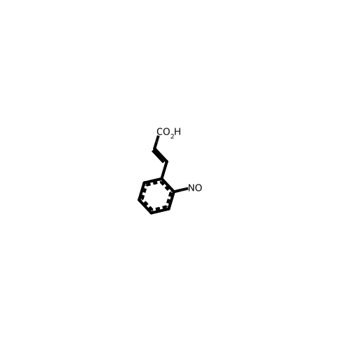 O=Nc1ccccc1C=CC(=O)O